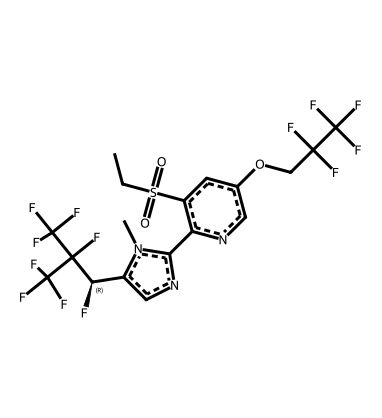 CCS(=O)(=O)c1cc(OCC(F)(F)C(F)(F)F)cnc1-c1ncc([C@@H](F)C(F)(C(F)(F)F)C(F)(F)F)n1C